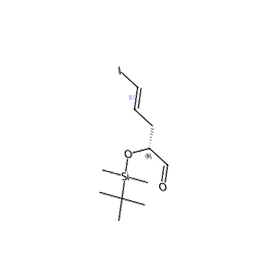 CC(C)(C)[Si](C)(C)O[C@@H](C=O)C/C=C/I